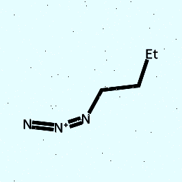 CCCCN=[N+]=[N-]